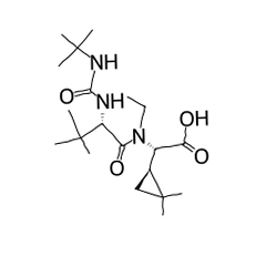 CCN(C(=O)[C@@H](NC(=O)NC(C)(C)C)C(C)(C)C)[C@H](C(=O)O)[C@@H]1CC1(C)C